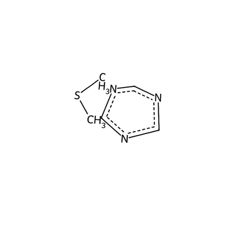 CSC.c1ncncn1